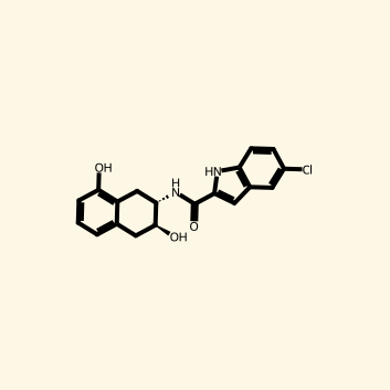 O=C(N[C@H]1Cc2c(O)cccc2C[C@@H]1O)c1cc2cc(Cl)ccc2[nH]1